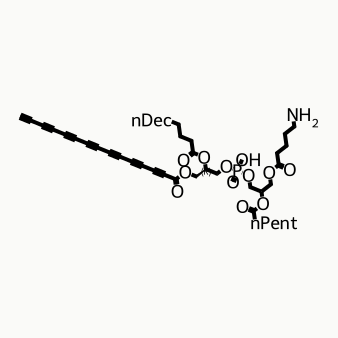 C#CC#CC#CC#CC#CC#CC#CC(=O)OC[C@H](COP(=O)(O)OCC(COC(=O)CCCCN)OC(=O)CCCCC)OC(=O)CCCCCCCCCCCCC